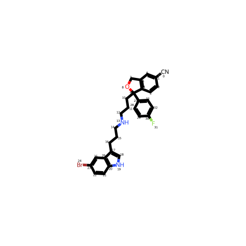 N#Cc1ccc2c(c1)COC2(CCCNCCCc1c[nH]c2ccc(Br)cc12)c1ccc(F)cc1